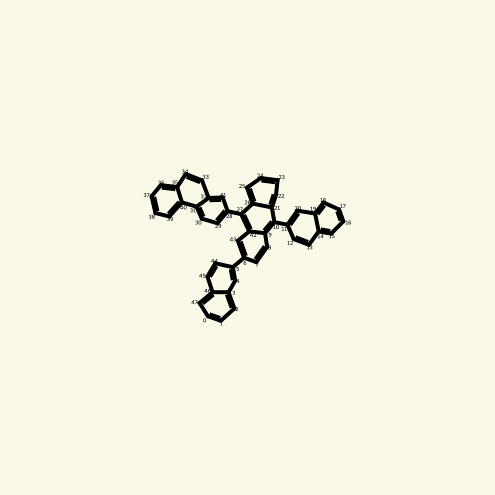 c1ccc2cc(-c3ccc4c(-c5ccc6ccccc6c5)c5ccccc5c(-c5ccc6c(ccc7ccccc76)c5)c4c3)ccc2c1